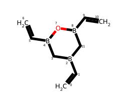 C=CB1CB(C=C)OB(C=C)C1